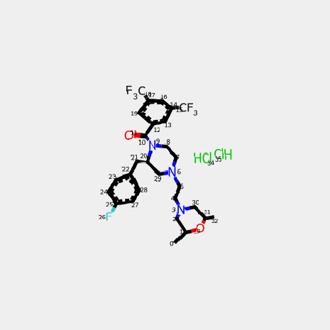 CC1CN(CCN2CCN(C(=O)c3cc(C(F)(F)F)cc(C(F)(F)F)c3)[C@H](Cc3ccc(F)cc3)C2)CC(C)O1.Cl.Cl